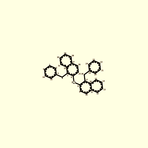 c1ccc(Cc2c(Oc3ccc4ccccc4c3Cc3ccccc3)ccc3ccccc23)cc1